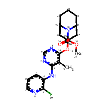 Cc1c(Nc2cccnc2F)ncnc1OC1CC2CCCC(C1)N2C(=O)OC(C)(C)C